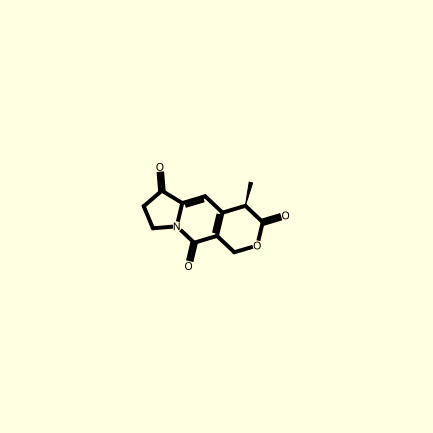 C[C@H]1C(=O)OCc2c1cc1n(c2=O)CCC1=O